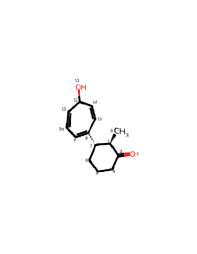 C[C@H]1C(=O)CCC[C@@H]1C1=CC=CC(O)C=C1